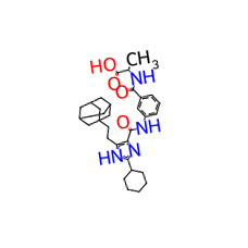 CC(NC(=O)c1cccc(NC(=O)c2nc(C3CCCCC3)[nH]c2CCC23CC4CC(CC(C4)C2)C3)c1)C(=O)O